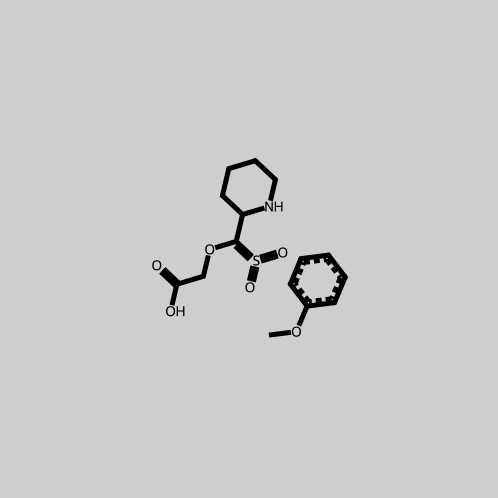 COc1ccccc1.O=C(O)COC(C1CCCCN1)=S(=O)=O